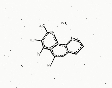 B.Cc1nc2c(c(C(C)C)cc3cccnc32)c(C(C)C)c1P